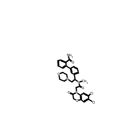 CN(C(=O)CN1C(=O)COc2cc(Cl)c(Cl)cc21)C(CN1CCOCC1)c1cccc(-c2ccccc2C(N)=O)c1